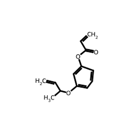 C=CC(=O)Oc1cccc(OC(C)C=C)c1